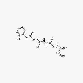 CCc1ccccc1NC(=O)CSC(=O)NNC(=O)CNC(=O)OC(C)(C)C